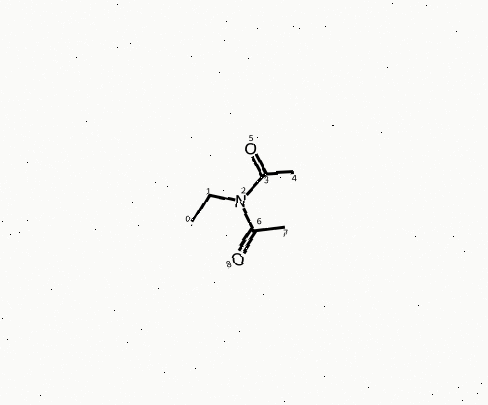 [CH2]CN(C(C)=O)C(C)=O